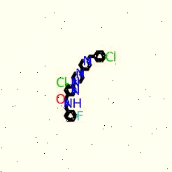 O=C(NCc1cccc(F)c1)c1cnc(N2CCN(C3CCN(Cc4ccc(Cl)cc4)CC3)CC2)c(Cl)c1